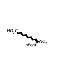 CCCCC/C(=C\CCCCCCCC(=O)O)[N+](=O)[O-]